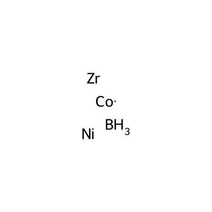 B.[Co].[Ni].[Zr]